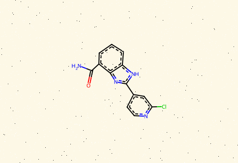 NC(=O)c1cccc2[nH]c(-c3ccnc(Cl)c3)nc12